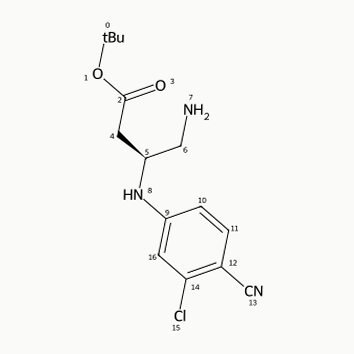 CC(C)(C)OC(=O)C[C@@H](CN)Nc1ccc(C#N)c(Cl)c1